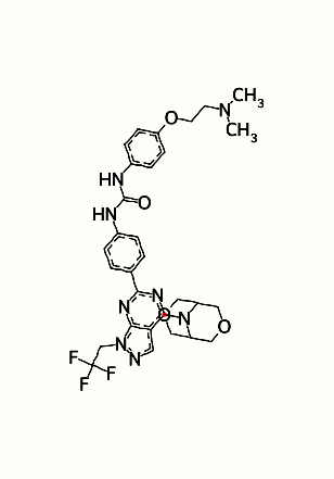 CN(C)CCOc1ccc(NC(=O)Nc2ccc(-c3nc(N4C5COCC4COC5)c4cnn(CC(F)(F)F)c4n3)cc2)cc1